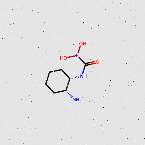 N[C@@H]1CCCC[C@@H]1NC(=O)P(O)O